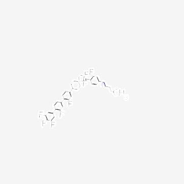 CCC/C=C/c1ccc(C(F)(F)OC2CCC(c3ccc(-c4ccc(-c5cc(F)c(F)c(F)c5)c(F)c4)c(F)c3)CC2)c(F)c1